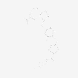 CC(C)(C)CNC(=O)c1ccc(Oc2ccc(Nc3ncnc4c3C=C(C(=O)O)CCN4)cc2Cl)cc1